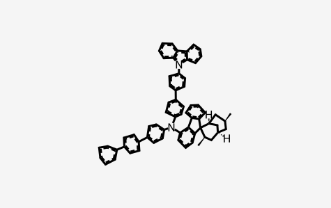 C[C@H]1C[C@@H]2C[C@H](C1)C1(c3ccccc3-c3c(N(c4ccc(-c5ccc(-c6ccccc6)cc5)cc4)c4ccc(-c5ccc(-n6c7ccccc7c7ccccc76)cc5)cc4)cccc31)[C@H](C)C2